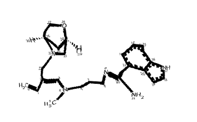 C=C/C(=C\N(C)CCC/N=C(\N)c1cccc2[nH]ccc12)CN1C[C@H]2C[C@@H]1CO2